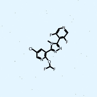 Cn1c(-c2cc(Cl)cnc2OC(F)F)nnc1-c1c(F)cncc1F